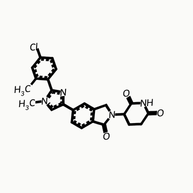 Cc1cc(Cl)ccc1-c1nc(-c2ccc3c(c2)CN(C2CCC(=O)NC2=O)C3=O)cn1C